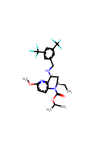 CC[C@@H]1C[C@H](NCc2cc(C(F)(F)F)cc(C(F)(F)F)c2)c2nc(OC)ccc2N1C(=O)OC(C)C